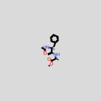 C=C(N[C@@H](C)C(=O)OC)[C@H](Cc1ccccc1)NC(C)=O